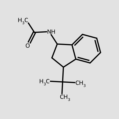 CC(=O)NC1CC(C(C)(C)C)c2ccccc21